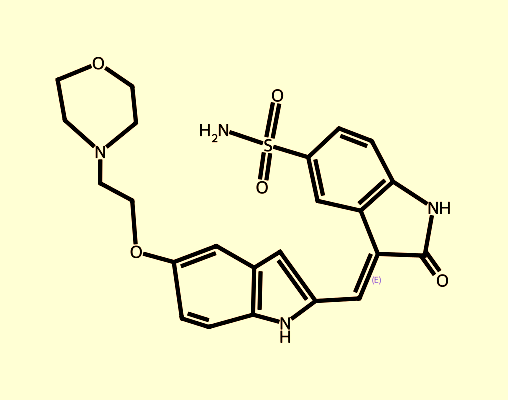 NS(=O)(=O)c1ccc2c(c1)/C(=C\c1cc3cc(OCCN4CCOCC4)ccc3[nH]1)C(=O)N2